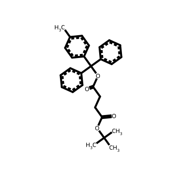 Cc1ccc(C(OC(=O)CCC(=O)OC(C)(C)C)(c2ccccc2)c2ccccc2)cc1